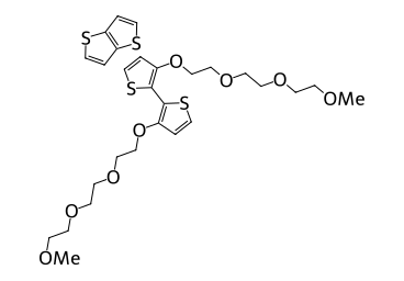 COCCOCCOCCOc1ccsc1-c1sccc1OCCOCCOCCOC.c1cc2sccc2s1